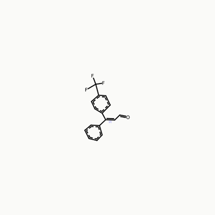 O=C/C=C(/c1ccccc1)c1ccc(C(F)(F)F)cc1